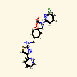 O=C1O[C@]2(CC[C@H](CNc3nc(-c4ccccn4)cs3)CC2)CN1c1cccc(F)n1